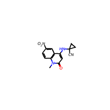 Cn1c(=O)cc(NC2(C#N)CC2)c2cc([N+](=O)[O-])ccc21